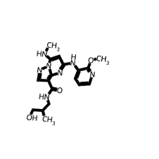 CNc1cc(Nc2cccnc2OC)nc2c(C(=O)NCC(C)CO)cnn12